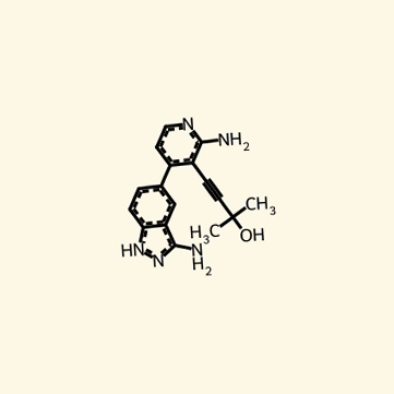 CC(C)(O)C#Cc1c(-c2ccc3[nH]nc(N)c3c2)ccnc1N